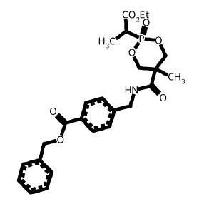 CCOC(=O)C(C)P1(=O)OCC(C)(C(=O)NCc2ccc(C(=O)OCc3ccccc3)cc2)CO1